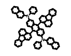 c1ccc(N(c2ccc3ccccc3c2)c2ccc3c(-c4ccc5c6c(cccc46)-c4ccccc4-5)c4cc(N(c5ccccc5)c5ccc6ccccc6c5)ccc4c(-c4ccc5c6c(cccc46)-c4ccccc4-5)c3c2)cc1